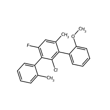 COc1ccccc1-c1c(C)cc(F)c(-c2ccccc2C)c1Cl